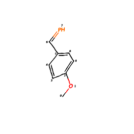 COc1ccc(C=P)cc1